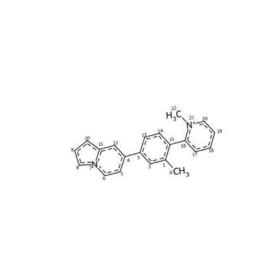 Cc1cc(-c2ccn3cccc3c2)ccc1-c1cccc[n+]1C